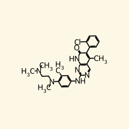 Cc1cc(Nc2ncc3c(C)c(-c4ccccc4Cl)c(=O)[nH]c3n2)ccc1N(C)CCN(C)C